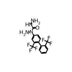 NNC(=O)N(N)c1ccc(-c2ccccc2C(F)(F)F)c(C(F)(F)F)c1